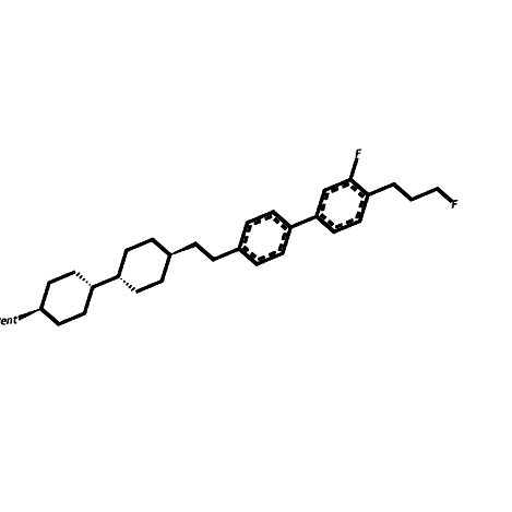 CCCCC[C@H]1CC[C@H]([C@H]2CC[C@H](CCc3ccc(-c4ccc(CCCF)c(F)c4)cc3)CC2)CC1